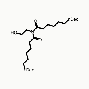 CCCCCCCCCCCCCCCC(=O)N(CCO)C(=O)CCCCCCCCCCCCCCC